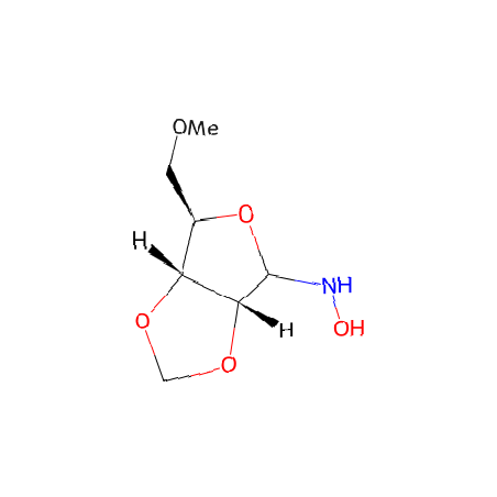 COC[C@H]1OC(NO)[C@@H]2OCO[C@H]12